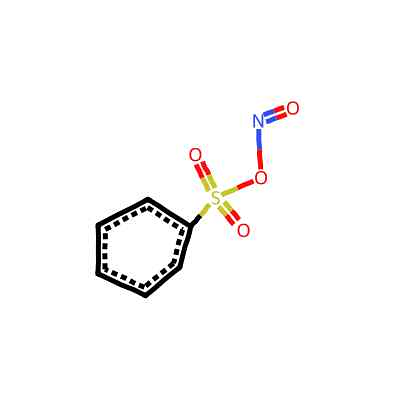 O=NOS(=O)(=O)c1ccccc1